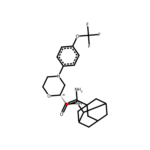 NC(=O)C12CC3CC(C1)C(NC(=O)[C@H]1CN(c4ccc(OC(F)(F)F)cc4)CCO1)C(C3)C2